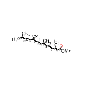 COC(=O)/C=C(C)/C=C/C=C(C)/C=C/C=C(\C)CCC=C(C)C